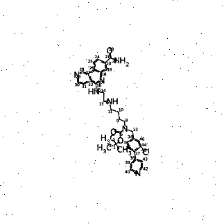 CC(C)(C)OC(=O)N(CCCCNCCNc1nc2cc(C(N)=O)ccc2c2cnccc12)Cc1ccc(-c2ccncc2)c(Cl)c1